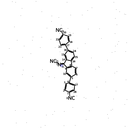 [C-]#[N+]c1ccc(-c2ccc3c(c2)/C(=N/C#N)c2cc(-c4ccc(C#N)cc4)ccc2-3)cc1